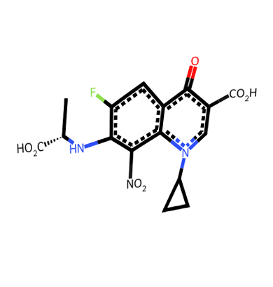 C[C@H](Nc1c(F)cc2c(=O)c(C(=O)O)cn(C3CC3)c2c1[N+](=O)[O-])C(=O)O